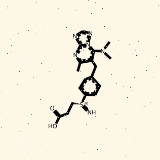 Cc1nc2ncnn2c(N(C)C)c1Cc1ccc([S@@](=N)CCC(=O)O)cc1